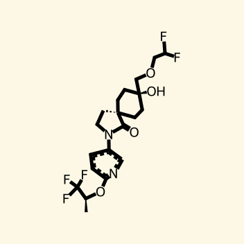 C[C@H](Oc1ccc(N2CC[C@]3(CC[C@@](O)(COCC(F)F)CC3)C2=O)cn1)C(F)(F)F